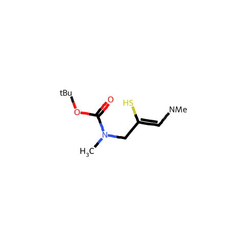 CN/C=C(\S)CN(C)C(=O)OC(C)(C)C